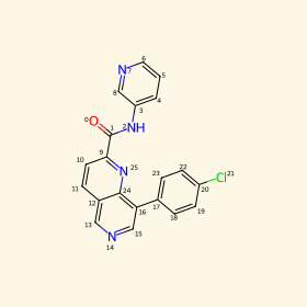 O=C(Nc1cccnc1)c1ccc2cncc(-c3ccc(Cl)cc3)c2n1